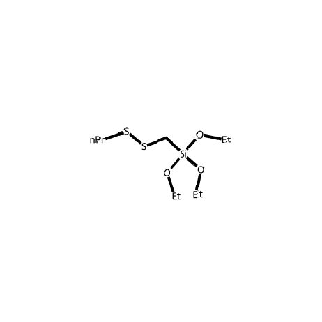 CCCSSC[Si](OCC)(OCC)OCC